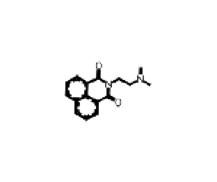 CN(C)CCN1C(=O)c2cccc3cccc(c23)C1=O